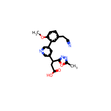 COc1ccc(CC#N)cc1-c1cncc(C(CC(=O)O)c2nnc(C)o2)c1